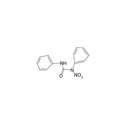 O=C(Nc1ccccc1)N(c1ccccc1)[N+](=O)[O-]